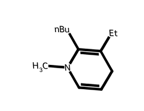 CCCCC1=C(CC)CC=CN1C